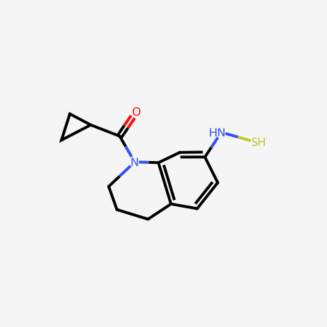 O=C(C1CC1)N1CCCc2ccc(NS)cc21